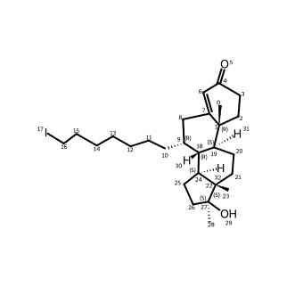 C[C@]12CCC(=O)C=C1C[C@@H](CCCCCCCI)[C@@H]1[C@@H]2CC[C@@]2(C)[C@H]1CC[C@]2(C)O